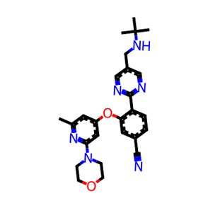 Cc1cc(Oc2cc(C#N)ccc2-c2ncc(CNC(C)(C)C)cn2)cc(N2CCOCC2)n1